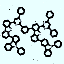 c1ccc(-c2cc(-c3cccc4c3oc3c(-c5cccc6c5c5ccccc5n6-c5ccccc5)cccc34)nc(-c3cccc(-c4ccc(-c5nc(-c6ccccc6)cc(-c6ccccc6)n5)c5oc6c(-c7ccc8c(c7)c7ccccc7n8-c7ccccc7)cccc6c45)c3)n2)cc1